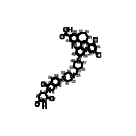 O=C1CC[C@H](N2Cc3cc(N4CCN(CC5CCN(c6cc(F)c(C7=C(c8ccc(Cl)cc8Cl)CCCc8cc(C(=O)O)ccc87)c(F)c6)CC5)CC4)ccc3C2=O)C(=O)N1